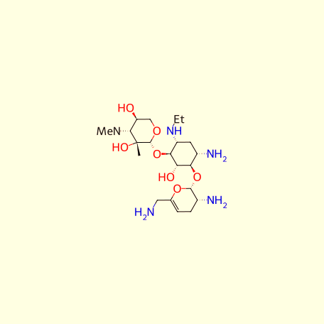 CCN[C@@H]1C[C@H](N)[C@@H](O[C@H]2OC(CN)=CC[C@H]2N)[C@H](O)[C@H]1O[C@H]1OC[C@H](O)[C@@H](NC)[C@@]1(C)O